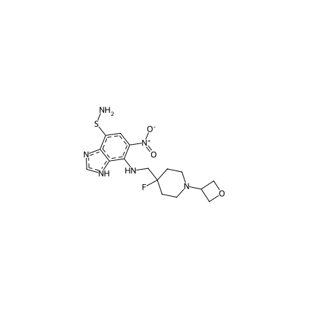 NSc1cc([N+](=O)[O-])c(NCC2(F)CCN(C3COC3)CC2)c2[nH]cnc12